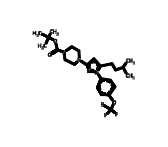 CC(C)CCc1cc(N2CCN(C(=O)OC(C)(C)C)CC2)nn1-c1ccc(OC(F)(F)F)cc1